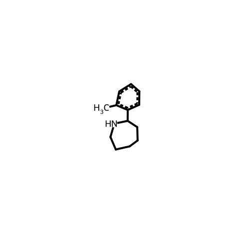 Cc1ccccc1C1CCCCCN1